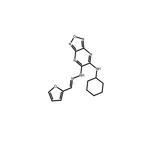 C(=N\Nc1nc2nonc2nc1NC1CCCCC1)/c1ccco1